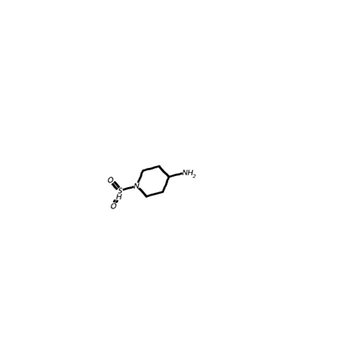 NC1CCN([SH](=O)=O)CC1